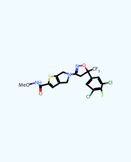 CONC(=O)c1cc2c(s1)CN(C1=NOC(c3cc(Cl)c(F)c(Cl)c3)(C(F)(F)F)C1)C2